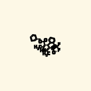 CC1=C(C(=O)OCc2ccccc2)C(c2ccccc2OC(F)F)C([N+](=O)[O-])=C(C)N1